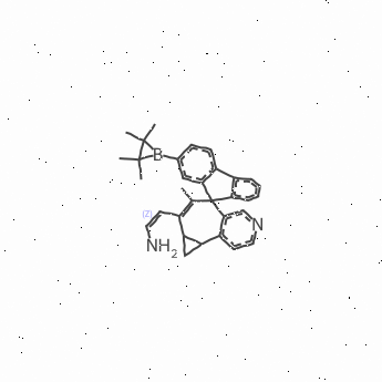 CC1=C(/C=C\N)C2CC2c2ccncc2C12c1ccccc1-c1ccc(B3C(C)(C)C3(C)C)cc12